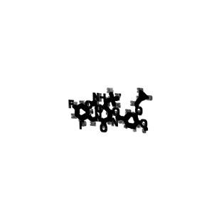 COc1ccc(-c2nc(C(=O)NCc3ccc(F)cc3F)c(C(CC(C)(C)C)OC(N)=O)o2)cc1OCC1CC1